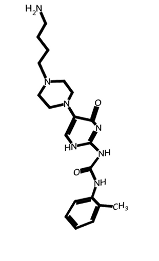 Cc1ccccc1NC(=O)Nc1nc(=O)c(N2CCN(CCCCN)CC2)c[nH]1